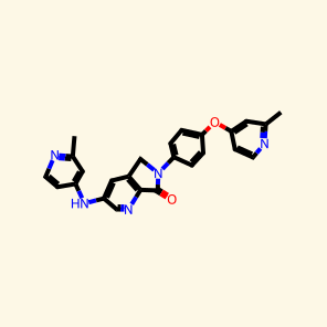 Cc1cc(Nc2cnc3c(c2)CN(c2ccc(Oc4ccnc(C)c4)cc2)C3=O)ccn1